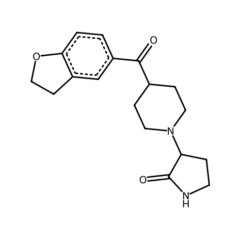 O=C(c1ccc2c(c1)CCO2)C1CCN(C2CCNC2=O)CC1